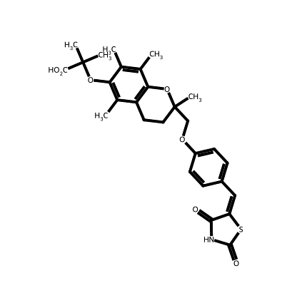 Cc1c(C)c2c(c(C)c1OC(C)(C)C(=O)O)CCC(C)(COc1ccc(C=C3SC(=O)NC3=O)cc1)O2